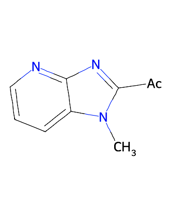 CC(=O)c1nc2ncccc2n1C